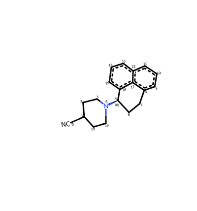 N#CC1CCN([C@@H]2CCc3cccc4cccc2c34)CC1